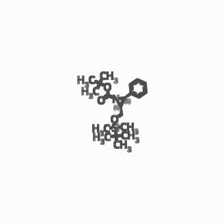 CC(C)(C)OC(=O)N1[C@H](CO[Si](C)(C)C(C)(C)C)[C@@H]1c1ccccc1